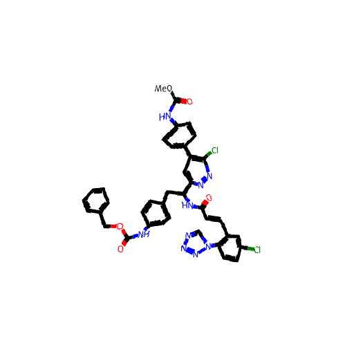 COC(=O)Nc1ccc(-c2cc(C(Cc3ccc(NC(=O)OCc4ccccc4)cc3)NC(=O)C=Cc3cc(Cl)ccc3-n3cnnn3)nnc2Cl)cc1